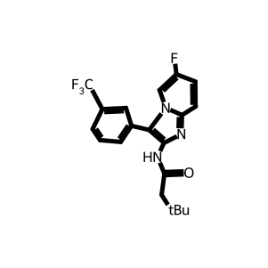 CC(C)(C)CC(=O)Nc1nc2ccc(F)cn2c1-c1cccc(C(F)(F)F)c1